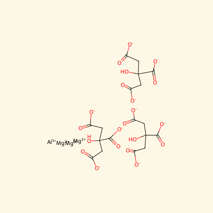 O=C([O-])CC(O)(CC(=O)[O-])C(=O)[O-].O=C([O-])CC(O)(CC(=O)[O-])C(=O)[O-].O=C([O-])CC(O)(CC(=O)[O-])C(=O)[O-].[Al+3].[Mg+2].[Mg+2].[Mg+2]